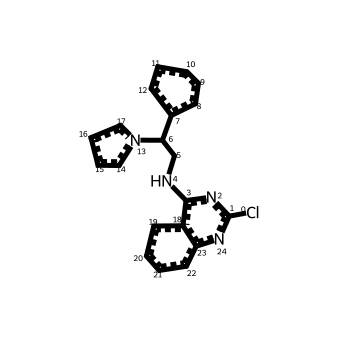 Clc1nc(NCC(c2ccccc2)n2cccc2)c2ccccc2n1